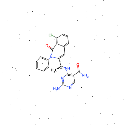 C[C@H](Nc1nc(N)ncc1C(N)=O)c1cc2cccc(Cl)c2c(=O)n1-c1ccccc1